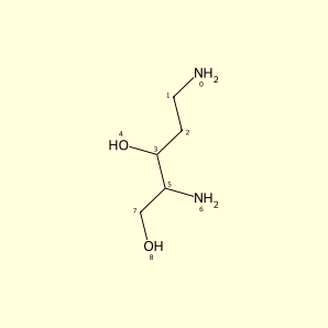 NCCC(O)C(N)CO